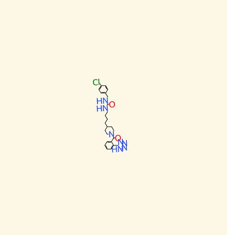 O=C(NCCCCC1CCN(C(=O)c2ccccc2-c2nnn[nH]2)CC1)NCc1ccc(Cl)cc1